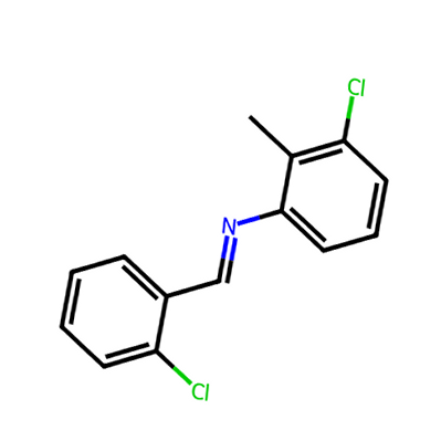 Cc1c(Cl)cccc1N=Cc1ccccc1Cl